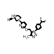 Cc1nnn(-c2ccc(C(F)F)cc2)c1COc1ccc(N2CCN[C@H](C#N)C2)nn1